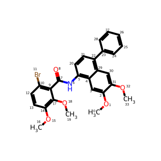 COc1cc2c(NC(=O)c3c(Br)ccc(OC)c3OC)ccc(-c3ccccc3)c2cc1OC